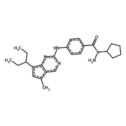 CCC(CC)n1cc(C)c2cnc(Nc3ccc(C(=O)N(N)C4CCCC4)cc3)nc21